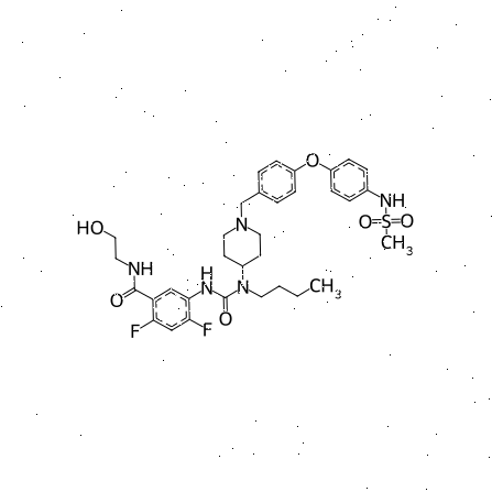 CCCCN(C(=O)Nc1cc(C(=O)NCCO)c(F)cc1F)C1CCN(Cc2ccc(Oc3ccc(NS(C)(=O)=O)cc3)cc2)CC1